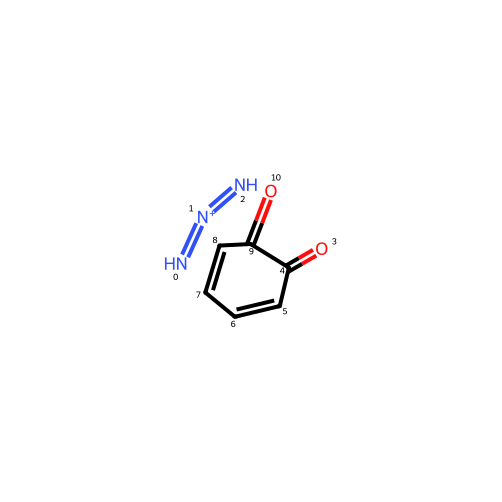 N=[N+]=N.O=C1C=CC=CC1=O